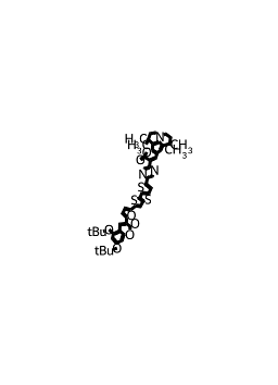 CC(C)(C)Oc1cc(OC(C)(C)C)c2cc(-c3ccc(-c4cc5sc6cc(-c7cnc(-c8cc9cc%10c%11c(c9oc8=O)C(C)(C)CCN%11CCC%10(C)C)cn7)sc6c5s4)o3)c(=O)oc2c1